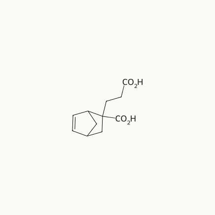 O=C(O)CCC1(C(=O)O)CC2C=CC1C2